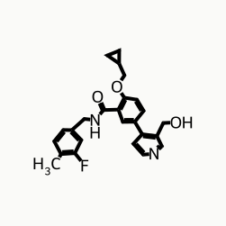 Cc1ccc(CNC(=O)c2cc(-c3ccncc3CO)ccc2OCC2CC2)cc1F